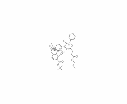 CC(C)COC(=O)CCC(=O)O[C@H](C(=O)OC1=CC[C@@]2(O)[C@H]3Cc4ccc(C(=O)OC(C)(C)C)c5c4[C@@]2(CCN3C)[C@H]1O5)c1ccccc1